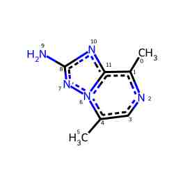 Cc1ncc(C)n2nc(N)nc12